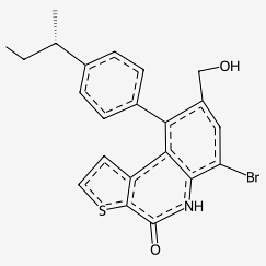 CC[C@H](C)c1ccc(-c2c(CO)cc(Br)c3[nH]c(=O)c4sccc4c23)cc1